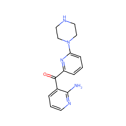 Nc1ncccc1C(=O)c1cccc(N2CCNCC2)n1